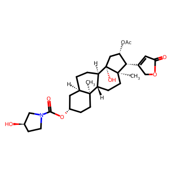 CC(=O)O[C@H]1C[C@]2(O)[C@@H]3CC[C@@H]4C[C@@H](OC(=O)N5CC[C@@H](O)C5)CC[C@]4(C)[C@H]3CC[C@]2(C)[C@H]1C1=CC(=O)OC1